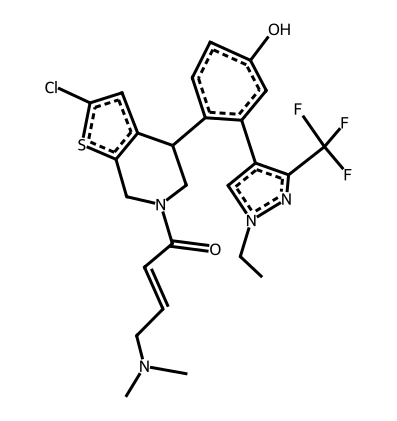 CCn1cc(-c2cc(O)ccc2C2CN(C(=O)/C=C/CN(C)C)Cc3sc(Cl)cc32)c(C(F)(F)F)n1